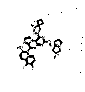 CN(C)C1(CNc2nc(OC[C@@]34CCCN3C[C@H](F)C4)nc3cc(-c4c(O)ccc5c(F)c(F)ccc45)c4nccn4c23)CCC1